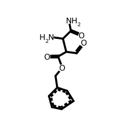 NC(=O)C(N)C(C=O)C(=O)OCc1ccccc1